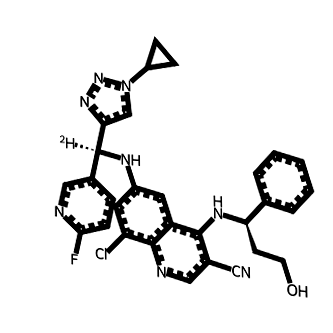 [2H][C@](Nc1cc(Cl)c2ncc(C#N)c(N[C@H](CCO)c3ccccc3)c2c1)(c1ccc(F)nc1)c1cn(C2CC2)nn1